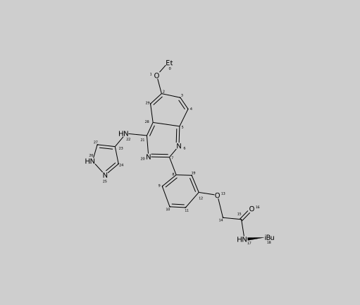 CCOc1ccc2nc(-c3cccc(OCC(=O)N[C@H](C)CC)c3)nc(Nc3cn[nH]c3)c2c1